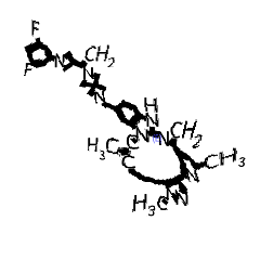 C=C1/N=C2\Nc3ccc(CN4CC5(C4)CN(C(=C)C4CN(c6cc(F)cc(F)c6)C4)C5)cc3N2C[C@H](C)CCCCc2c(cnn2C)-c2cc1cc(C)n2